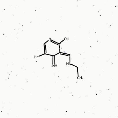 CCN/C=C1\C(=N)C(Br)=CN=C1O